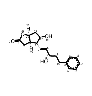 O=C1C[C@@H]2[C@@H](/C=C/[C@@H](O)CCc3ccccc3)[C@H](O)C[C@@H]2O1